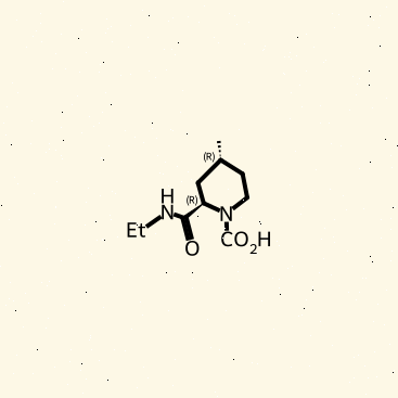 CCNC(=O)[C@H]1C[C@H](C)CCN1C(=O)O